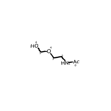 CC(=O)NCCOCO